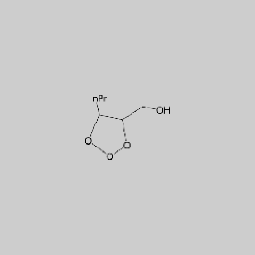 CCCC1OOOC1CO